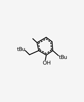 Cc1ccc(C(C)(C)C)c(O)c1CC(C)(C)C